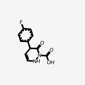 O=C(O)N1NC=CC(c2ccc(F)cc2)C1=O